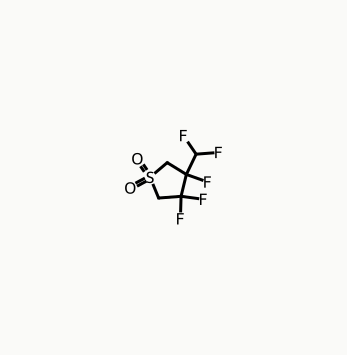 O=S1(=O)CC(F)(F)C(F)(C(F)F)C1